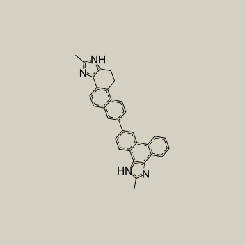 Cc1nc2c([nH]1)CCc1c-2ccc2cc(-c3ccc4c(c3)c3ccccc3c3nc(C)[nH]c43)ccc12